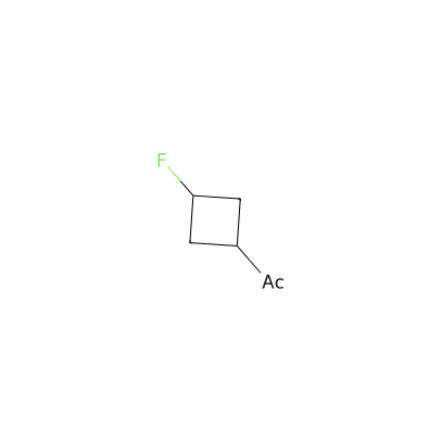 CC(=O)C1CC(F)C1